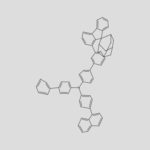 c1ccc(-c2ccc(N(c3ccc(-c4cccc(-c5cccc6c5C5(c7ccccc7-6)C6CC7CC(C6)CC5C7)c4)cc3)c3ccc(-c4cccc5ccccc45)cc3)cc2)cc1